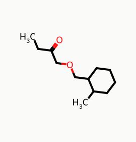 CCC(=O)COCC1CCCCC1C